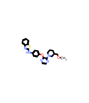 COCC1CCCN(c2nccnc2Oc2ccc(Nc3nc4ccccc4s3)cc2)C1